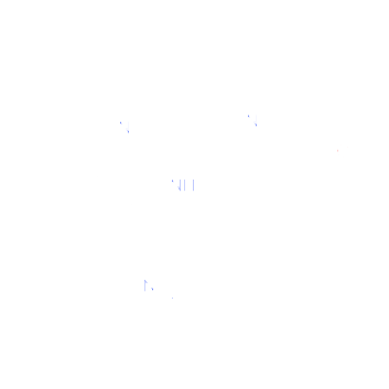 Nc1cccc2nc(CN3CCOCC3)[nH]c12